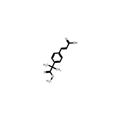 COC(=O)C(C)(C)c1ccc(/C=C/C(=O)O)cc1